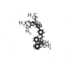 CCC[CH2][Sn]([CH2]CCC)([CH2]CCC)[c]1cc(-c2ccc(CCO[Si](c3ccccc3)(c3ccccc3)C(C)(C)C)cc2)no1